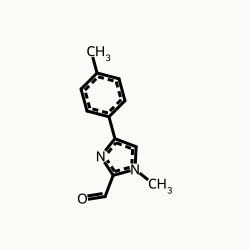 Cc1ccc(-c2cn(C)c(C=O)n2)cc1